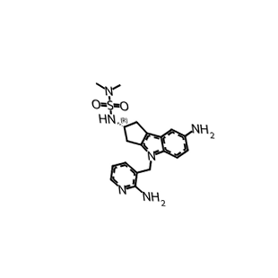 CN(C)S(=O)(=O)N[C@@H]1Cc2c(n(Cc3cccnc3N)c3ccc(N)cc23)C1